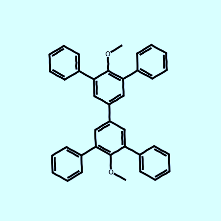 COc1c(-c2ccccc2)cc(-c2cc(-c3ccccc3)c(OC)c(-c3ccccc3)c2)cc1-c1ccccc1